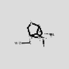 B[C@@H]1O[C@@]2(COC)COC1C2OI